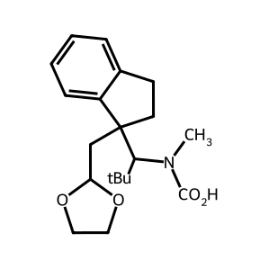 CN(C(=O)O)C(C(C)(C)C)C1(CC2OCCO2)CCc2ccccc21